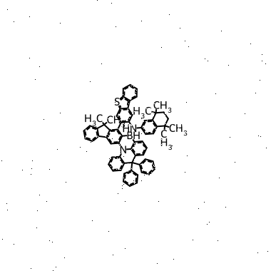 CC1(C)CCC(C)(C)c2cc(Nc3cc4c(cc3-c3c5c(cc6c3C(C)(C)c3ccccc3-6)N3c6ccccc6C(c6ccccc6)(c6ccccc6)c6cccc(c63)B5)sc3ccccc34)ccc21